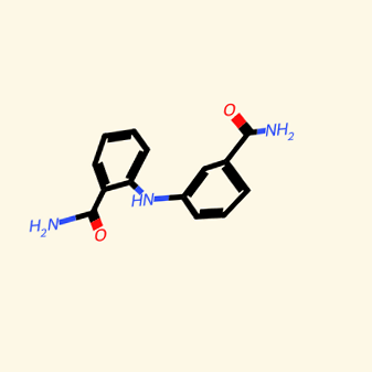 NC(=O)c1cccc(Nc2ccccc2C(N)=O)c1